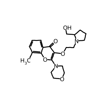 Cc1cccc2c(=O)c(OCCN3CCCC3CO)c(N3CCOCC3)oc12